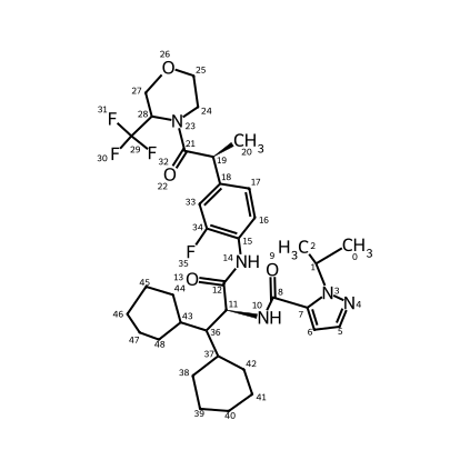 CC(C)n1nccc1C(=O)N[C@H](C(=O)Nc1ccc([C@H](C)C(=O)N2CCOCC2C(F)(F)F)cc1F)C(C1CCCCC1)C1CCCCC1